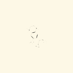 COc1cc2c(cc1C(C=O)C1CC1)C(C)(C)CCC2(C)C